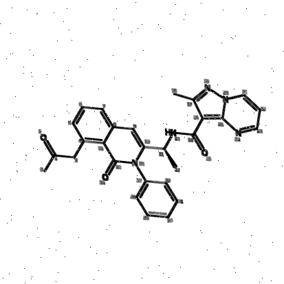 CC(=O)Cc1cccc2cc([C@H](C)NC(=O)c3c(C)nn4cccnc34)n(-c3ccccc3)c(=O)c12